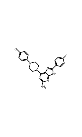 Nc1nc(N2CCN(c3ccc(Cl)cc3)CC2)c2nc(-c3ccc(F)cc3)[nH]c2n1